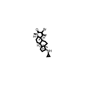 CN1C(=O)C(Br)=C(F)[C@]2(C)[C@H]3CC[C@]4(C)[C@@H](NC5CC5)CC[C@H]4[C@@H]3CC[C@@H]12